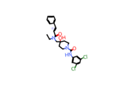 CCN(CC1(O)CCN(C(=O)Nc2cc(Cl)cc(Cl)c2)CC1)C(=O)/C=C/c1ccccc1